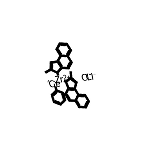 CC1=Cc2c(ccc3ccccc23)[CH]1[Zr+2]([CH]1C(C)=Cc2c1ccc1ccccc21)=[Ge]([CH3])[c]1ccccc1.[Cl-].[Cl-]